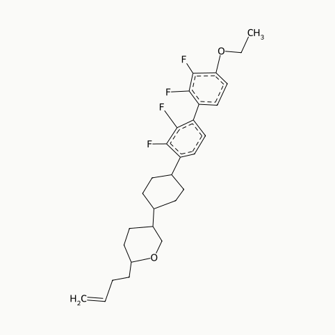 C=CCCC1CCC(C2CCC(c3ccc(-c4ccc(OCC)c(F)c4F)c(F)c3F)CC2)CO1